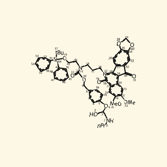 CCCNC(O)Oc1ccc(COC(=O)N(CCCn2c3c(c4cc(OC)c(OC)cc4c2=O)C(=O)c2cc4c(cc2-3)OCO4)CCO[Si](c2ccccc2)(c2ccccc2)C(C)(C)C)cc1